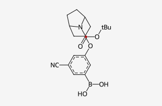 CC(C)(C)OC(=O)N1C2CCC1CC(Oc1cc(C#N)cc(B(O)O)c1)C2